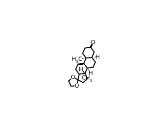 C[C@]12CC=C3[C@@H](CC[C@@H]4CC(=O)CC[C@]34C)[C@@H]1CCC21OCCO1